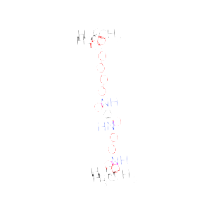 CC(C)(C)OC(=O)CCOCCOCCOCCOCCNC(=O)c1ccc(C(=O)NCCOCCOCCNC(=O)OC(C)(C)C)cc1